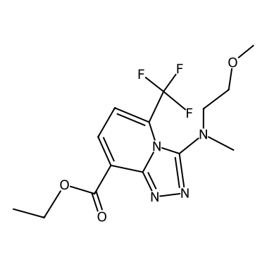 CCOC(=O)c1ccc(C(F)(F)F)n2c(N(C)CCOC)nnc12